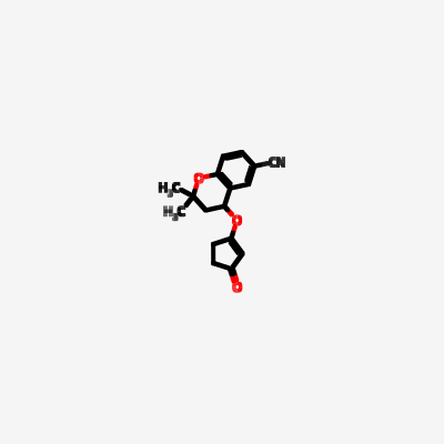 CC1(C)CC(OC2=CC(=O)CC2)c2cc(C#N)ccc2O1